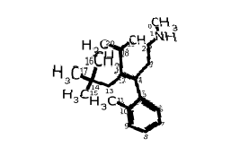 CNCCC(c1ccccc1C)C(CC(C)(C)C)C(C)C